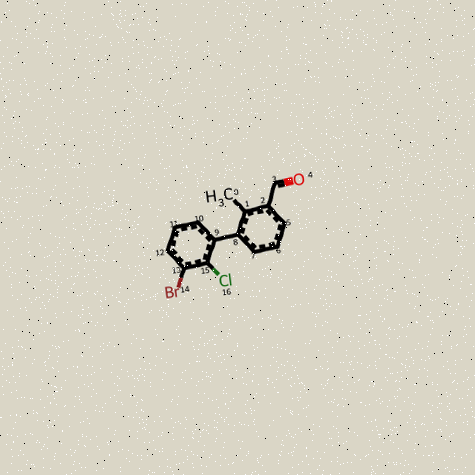 Cc1c(C=O)cccc1-c1cccc(Br)c1Cl